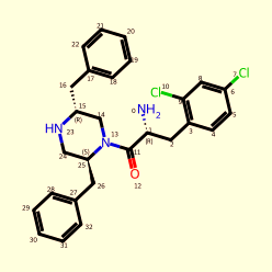 N[C@H](Cc1ccc(Cl)cc1Cl)C(=O)N1C[C@@H](Cc2ccccc2)NC[C@@H]1Cc1ccccc1